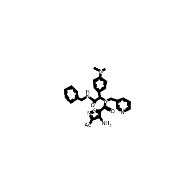 CC(=O)c1nsc(C(=O)N(Cc2cccnc2)C(C(=O)NCc2ccccc2)c2ccc(N(C)C)cc2)c1N